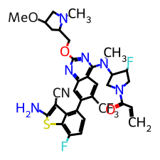 C=CC(=O)N1CC(F)C(N(C)c2nc(OCC3CC(OC)CN3C)nc3cc(-c4ccc(F)c5sc(N)c(C#N)c45)c(C(F)(F)F)cc23)C1